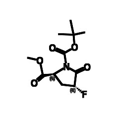 COC(=O)[C@@H]1C[C@@H](F)C(=O)N1C(=O)OC(C)(C)C